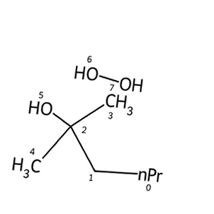 CCCCC(C)(C)O.OO